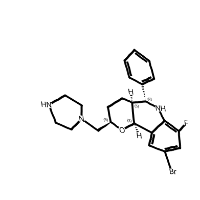 Fc1cc(Br)cc2c1N[C@@H](c1ccccc1)[C@@H]1CC[C@H](CN3CCNCC3)O[C@H]21